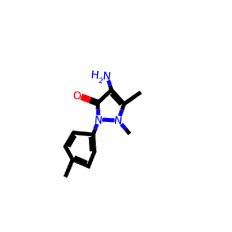 Cc1ccc(-n2c(=O)c(N)c(C)n2C)cc1